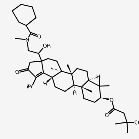 CC(C)C1=C2[C@H]3CC[C@@H]4[C@@]5(C)CC[C@H](OC(=O)CC(C)(C)C(=O)O)C(C)(C)[C@@H]5CC[C@@]4(C)[C@]3(C)CCC2(C(O)CN(C)C(=O)C2CCCCC2)CC1=O